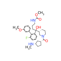 CN[C@H]1CC[C@@H](C(=O)N2CCC[C@@H]([C@@](O)(CCCNC(=O)OC)c3cccc(F)c3-c3cccc(OC)c3)C2)C1